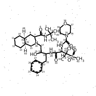 CC(C)(C)NC(=O)C1C[C@@H]2CCCC[C@@H]2CN1CC(O)C(Cc1ccccc1)NC(=O)[C@@H](NC(=O)N1CCOCC1)C(C)(C)S(C)(=O)=O